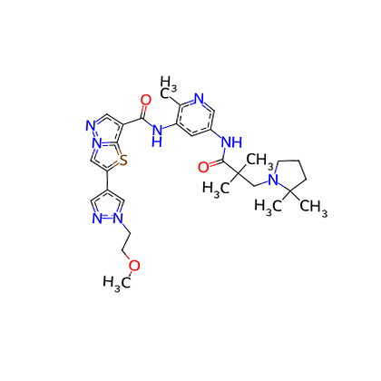 COCCn1cc(-c2cn3ncc(C(=O)Nc4cc(NC(=O)C(C)(C)CN5CCCC5(C)C)cnc4C)c3s2)cn1